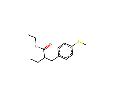 CCOC(=O)C(CC)Cc1ccc(SC)cc1